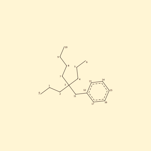 [CH2]CCC(CCC)(CCCC)Cc1ccccc1